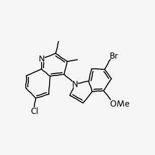 COc1cc(Br)cc2c1ccn2-c1c(C)c(C)nc2ccc(Cl)cc12